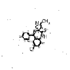 CCCC1(C)N=C(c2ccccc2)c2cc(Cl)ccc2NC1=S